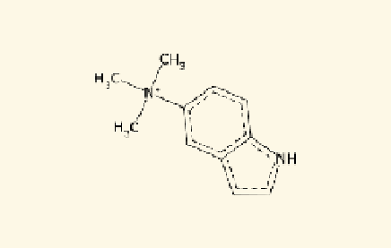 C[N+](C)(C)c1ccc2[nH]ccc2c1